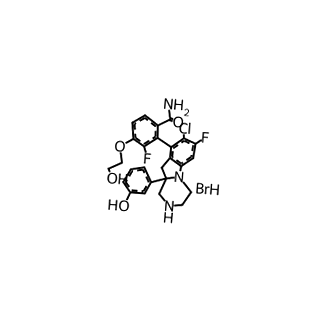 Br.NC(=O)c1ccc(OCCO)c(F)c1-c1c(Cl)c(F)cc2c1CC1(c3cccc(O)c3)CNCCN21